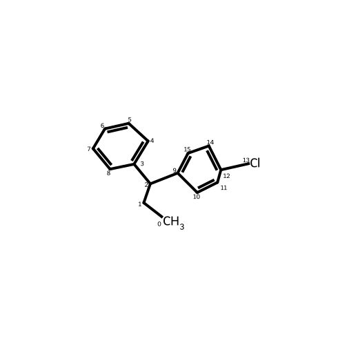 CCC(c1ccccc1)c1ccc(Cl)cc1